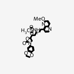 COc1ccc2nccc(CC[C@H](CCC3CN(c4ccc5c(c4)OCCO5)C(=O)O3)NS(C)(=O)=O)c2n1